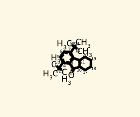 CC(C)(C)c1ccc(C(C)(C)C)c2c1C(=O)C1CCCCC21